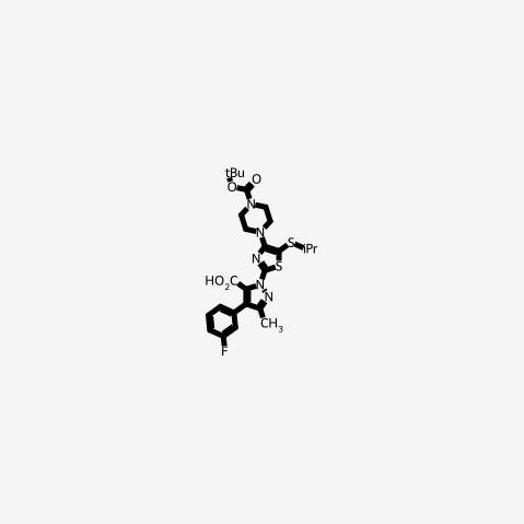 Cc1nn(-c2nc(N3CCN(C(=O)OC(C)(C)C)CC3)c(SC(C)C)s2)c(C(=O)O)c1-c1cccc(F)c1